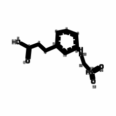 O=C(O)CCc1cccc(NC[SH](=O)=O)c1